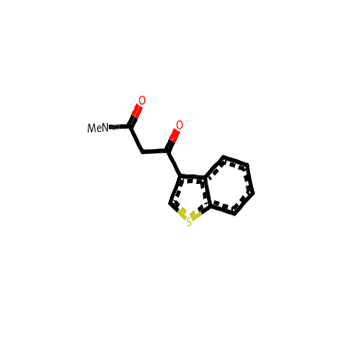 CNC(=O)CC(=O)c1csc2ccccc12